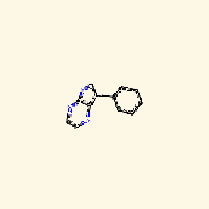 c1ccc(-c2c[nH]c3nccnc23)cc1